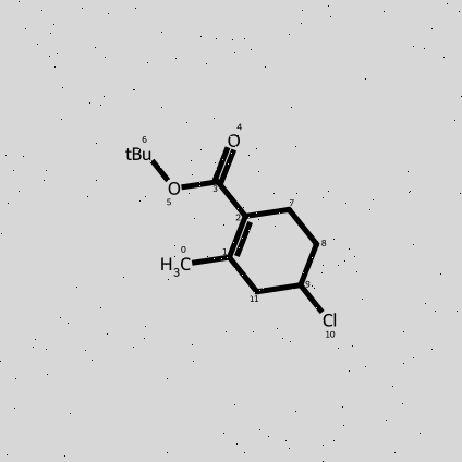 CC1=C(C(=O)OC(C)(C)C)CCC(Cl)C1